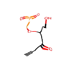 C#CC(=O)C(CO)OP(=O)=O